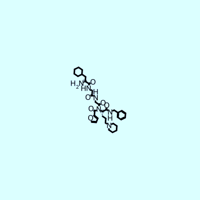 N[C@@H](CC1CCCCC1)C(=O)NCC(=O)NCC(=O)N(C(=O)c1ccco1)[C@@H](CCCN1CCCCC1)C(=O)NCc1ccccc1